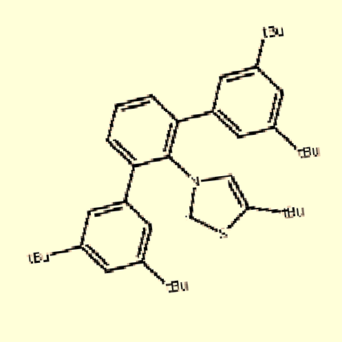 CC(C)(C)C1=CN(c2c(-c3cc(C(C)(C)C)cc(C(C)(C)C)c3)cccc2-c2cc(C(C)(C)C)cc(C(C)(C)C)c2)[C]S1